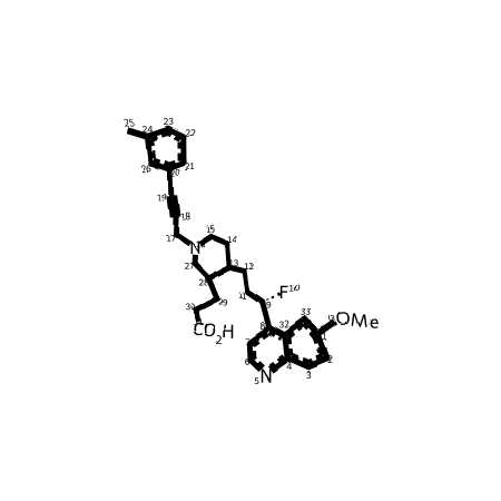 COc1ccc2nccc([C@@H](F)CCC3CCN(CC#Cc4cccc(C)c4)CC3CCC(=O)O)c2c1